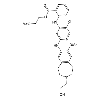 COCCOC(=O)c1ccccc1Nc1nc(Nc2cc3c(cc2OC)CCN(CCO)CC3)ncc1Cl